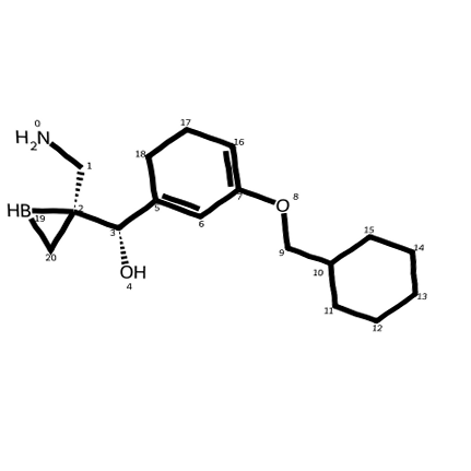 NC[C@@]1([C@@H](O)C2=CC(OCC3CCCCC3)=CCC2)BC1